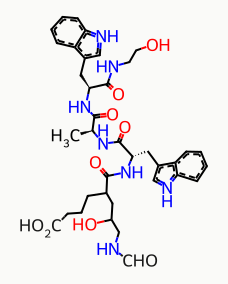 C[C@H](NC(=O)[C@H](Cc1c[nH]c2ccccc12)NC(=O)C(CCCC(=O)O)CC(O)CNC=O)C(=O)N[C@@H](Cc1c[nH]c2ccccc12)C(=O)NCCO